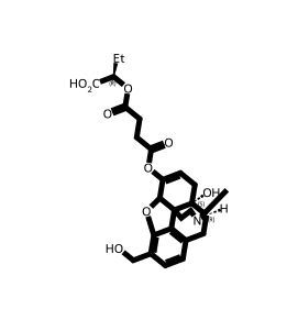 CC[C@@H](OC(=O)CCC(=O)OC1=CC[C@@]2(O)[C@H]3Cc4ccc(CO)c5c4C2(CCN3C)C1O5)C(=O)O